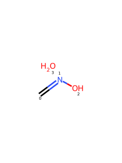 C=NO.O